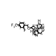 Fc1cc(C(F)(F)F)ccc1COC1CN([C@]23CNC[C@H]2OCc2nn[nH]c23)C1